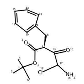 CC(C)(C)OC(=O)[C@@H](Cc1ccccc1)C(=O)C(N)Cl